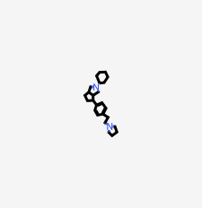 c1cc(C2CCC3CN(C4CCCCC4)CC32)ccc1CCN1CCCC1